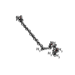 CCCN(Cc1cnc(CN(C)C)c(C(F)(F)F)c1)C(=O)C1=Cc2sc(CCCCCN(C)CCOCCOCCOCCOCCOCCOCCOCCOCCOCCOCCC(=O)Oc3c(F)c(F)cc(F)c3F)cc2N=C(N)C1